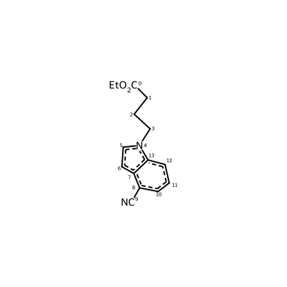 CCOC(=O)CCCn1ccc2c(C#N)cccc21